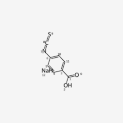 O=C(O)c1ccc(N=C=S)cc1.[NaH]